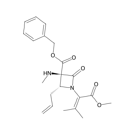 C=CC[C@H]1N(C(C(=O)OC)=C(C)C)C(=O)[C@@]1(NC)C(=O)OCc1ccccc1